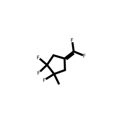 CC1(F)CC(=C(F)F)CC1(F)F